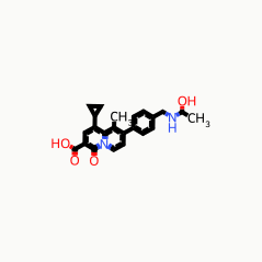 Cc1c(-c2ccc(CNC(C)O)cc2)ccn2c(=O)c(C(=O)O)cc(C3CC3)c12